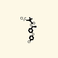 C#CC(OC(=O)C1C(CC(Cl)(Cl)Cl)C1(C)C)c1cccc(Oc2ccc(Cl)cc2)c1